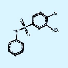 O=[N+]([O-])c1cc(S(=O)(=O)Nc2ccccc2)ccc1Br